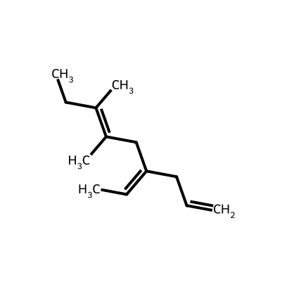 C=CCC(=CC)CC(C)=C(C)CC